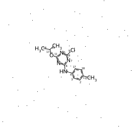 Cc1ccc(Nc2nc(Cl)nc(OC(C)C)n2)cc1